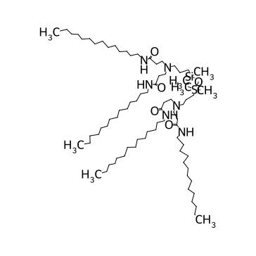 CCCCCCCCCCCCCCNC(=O)CCN(CCC[Si](C)(C)O[Si](C)(C)CCCN(CCC(=O)NCCCCCCCCCCCCCC)CCC(=O)NCCCCCCCCCCCCCC)CCC(=O)NCCCCCCCCCCCCCC